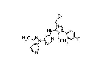 CCc1c(-c2ccc(F)cc2)nn(CC2CC2)c1Nc1cc(-n2nc(C)c3ccncc32)ncn1